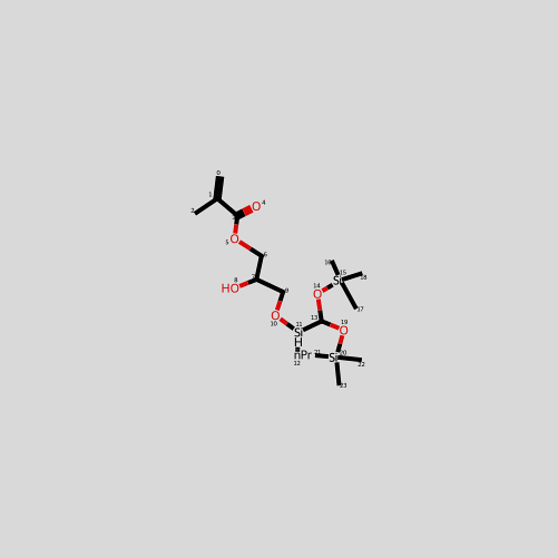 C=C(C)C(=O)OCC(O)CO[SiH](CCC)C(O[Si](C)(C)C)O[Si](C)(C)C